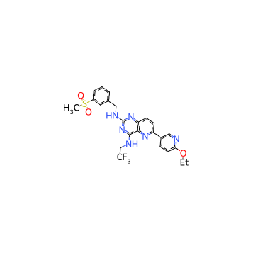 CCOc1ccc(-c2ccc3nc(NCc4cccc(S(C)(=O)=O)c4)nc(NCC(F)(F)F)c3n2)cn1